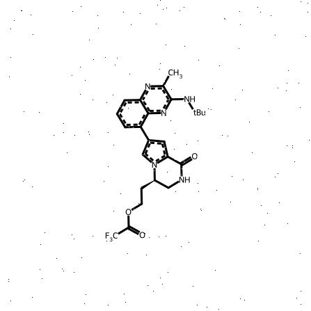 Cc1nc2cccc(-c3cc4n(c3)[C@H](CCOC(=O)C(F)(F)F)CNC4=O)c2nc1NC(C)(C)C